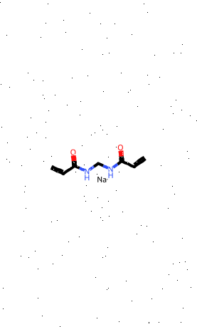 C=CC(=O)NCNC(=O)C=C.[Na]